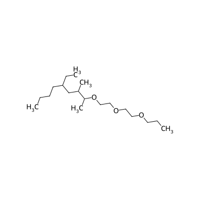 CCCCC(CC)CC(C)C(C)OCCOCCOCCC